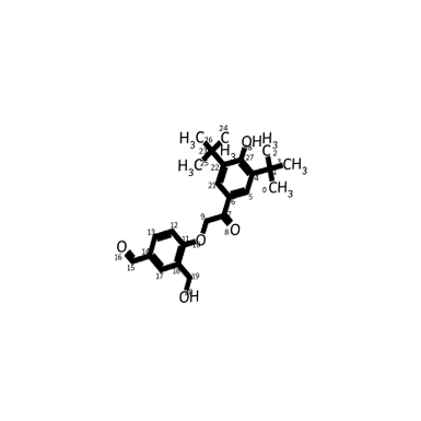 CC(C)(C)c1cc(C(=O)COc2ccc(C=O)cc2CO)cc(C(C)(C)C)c1O